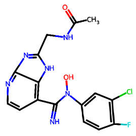 CC(=O)NCc1nc2nccc(C(=N)N(O)c3ccc(F)c(Cl)c3)c2[nH]1